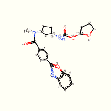 CN(C(=O)c1ccc(-c2nc3ccccc3o2)cc1)[C@@H]1CC[C@H](NC(=O)O[C@H]2CCCO2)C1